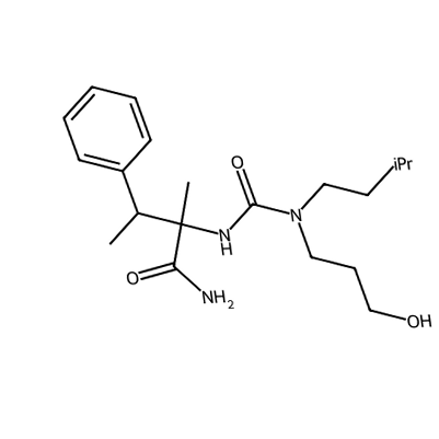 CC(C)CCN(CCCO)C(=O)NC(C)(C(N)=O)C(C)c1ccccc1